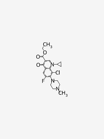 CCOC(=O)c1cn(C2CC2)c2c(Cl)c(N3CCN(C)CC3)c(F)cc2c1=O